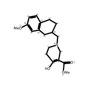 COC(=O)C1=C(O)CCN(CC2CCc3ccc(OC)cc3C2)C1